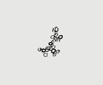 COc1ccc(C(Cc2c(Cl)c[n+]([O-])cc2Cl)OC(=O)c2ccc(CNC(C(=O)OC[C@H]3CCCCN3C)c3ccccc3)s2)cc1OC